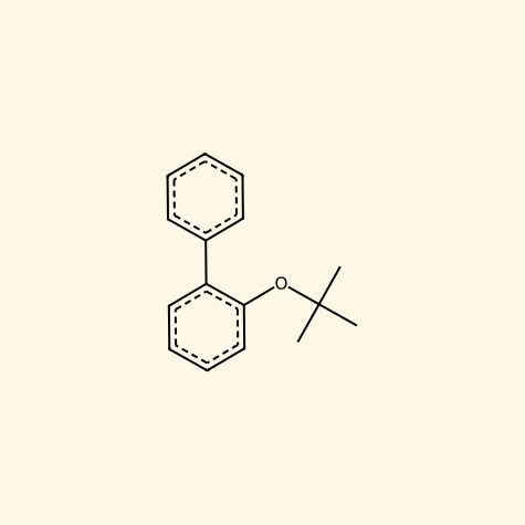 CC(C)(C)Oc1ccccc1-c1ccccc1